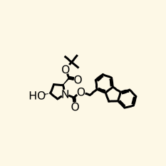 CC(C)(C)OC(=O)[C@@H]1C[C@@H](O)CN1C(=O)OCc1cccc2c1Cc1ccccc1-2